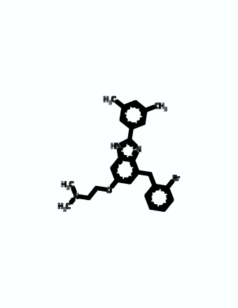 Cc1cc(C)cc(-c2nc3c(Cc4ccccc4Br)cc(OCCN(C)C)cc3[nH]2)c1